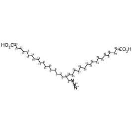 [N-]=[N+]=NCC(CCCCCCCCCCCCCCCCCCC(=O)O)CCCCCCCCCCCCCCCCCC(=O)O